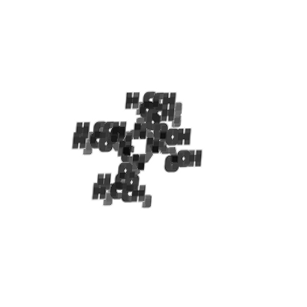 CC(C)(C)OC(=O)CN1CCN(CC(=O)OC(C)(C)C)CCN([C@H](CCC(=O)O)C(=O)O)CCN(CC(=O)OC(C)(C)C)CC1